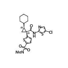 CNS(=O)(=O)c1ccc([C@@]2(C(=O)Nc3ncc(Cl)s3)C[C@H]2C2CCCCC2)s1